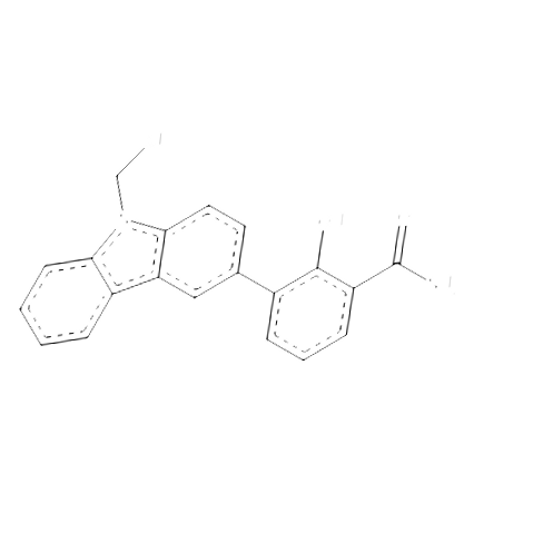 CCn1c2ccccc2c2cc(-c3cccc(C(N)=O)c3O)ccc21